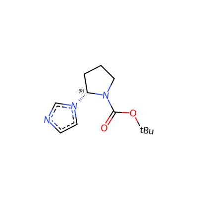 CC(C)(C)OC(=O)N1CCC[C@H]1n1ccnc1